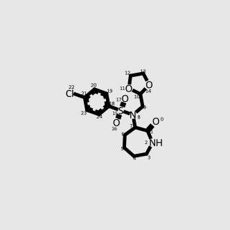 O=C1NCCCCC1N(CC1OCCO1)S(=O)(=O)c1ccc(Cl)cc1